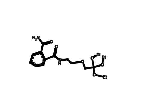 CCOC(COCCNC(=O)c1ccccc1C(N)=O)(OCC)OCC